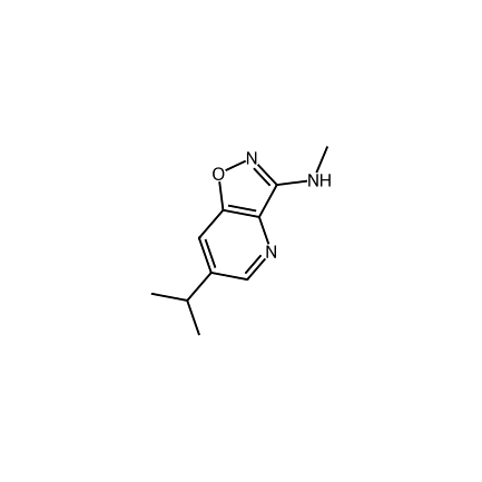 CNc1noc2cc(C(C)C)cnc12